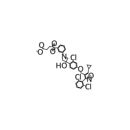 COC(=O)CCS(=O)(=O)c1cccc(N2CC(O)(c3ccc(OCc4c(-c5c(Cl)cccc5Cl)noc4C4CC4)cc3Cl)C2)c1